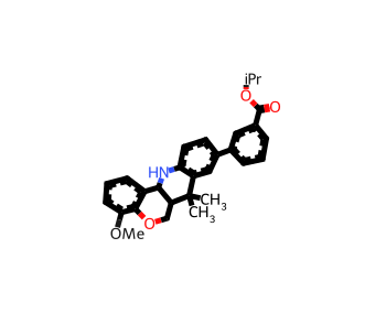 COc1cccc2c1OCC1C2Nc2ccc(-c3cccc(C(=O)OC(C)C)c3)cc2C1(C)C